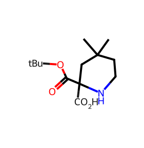 CC1(C)CCNC(C(=O)O)(C(=O)OC(C)(C)C)C1